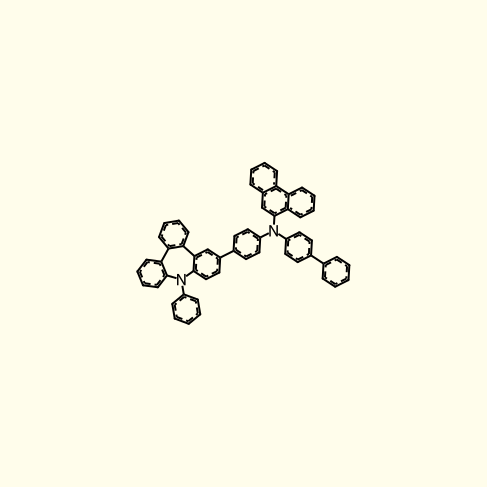 c1ccc(-c2ccc(N(c3ccc(-c4ccc5c(c4)-c4ccccc4-c4ccccc4N5c4ccccc4)cc3)c3cc4ccccc4c4ccccc34)cc2)cc1